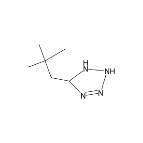 CC(C)(C)CC1N=NNN1